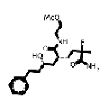 COCCNC(=O)[C@H](CCC(C)(F)C(N)=O)C[C@@H](O)[CH]Cc1ccccc1